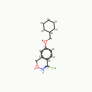 FC1=NOCc2cc(OCC3CCCCC3)ccc21